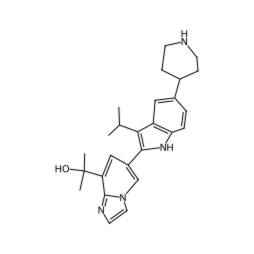 CC(C)c1c(-c2cc(C(C)(C)O)c3nccn3c2)[nH]c2ccc(C3CCNCC3)cc12